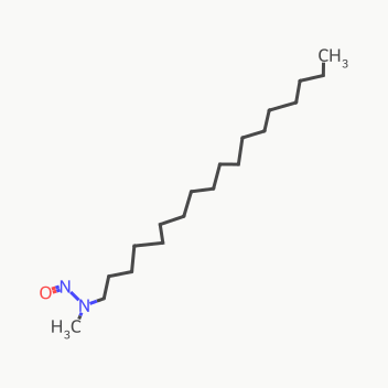 CCCCCCCCCCCCCCCCCCN(C)N=O